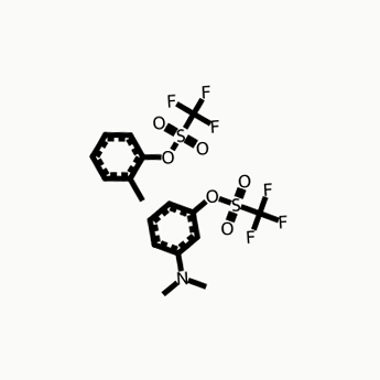 CN(C)c1cccc(OS(=O)(=O)C(F)(F)F)c1.Cc1ccccc1OS(=O)(=O)C(F)(F)F